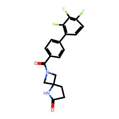 O=C1CCC2(CN(C(=O)c3ccc(-c4ccc(F)c(F)c4F)cc3)C2)N1